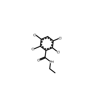 CCPC(=O)c1c(Cl)c(Cl)cc(Cl)c1Cl